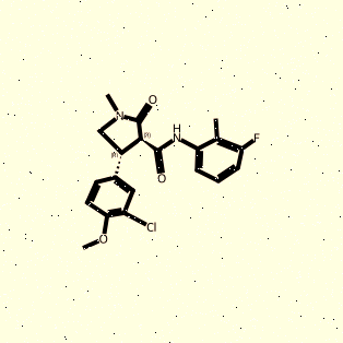 COc1ccc([C@@H]2CN(C)C(=O)[C@H]2C(=O)Nc2cccc(F)c2C)cc1Cl